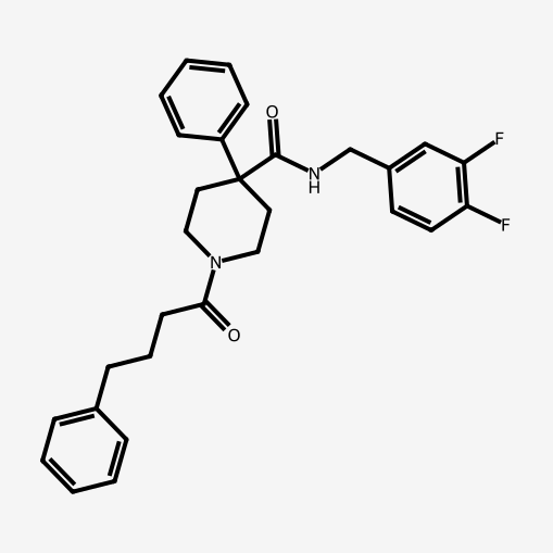 O=C(CCCc1ccccc1)N1CCC(C(=O)NCc2ccc(F)c(F)c2)(c2ccccc2)CC1